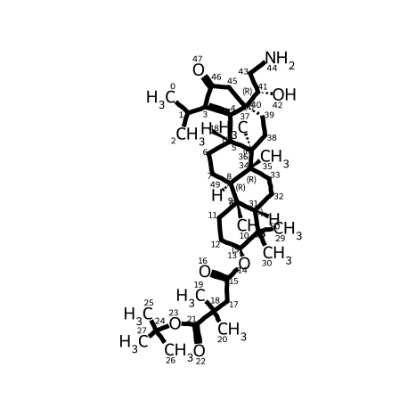 CC(C)C1=C2[C@H]3CC[C@@H]4[C@@]5(C)CC[C@H](OC(=O)CC(C)(C)C(=O)OC(C)(C)C)C(C)(C)[C@H]5CC[C@@]4(C)[C@]3(C)CC[C@@]2([C@@H](O)CN)CC1=O